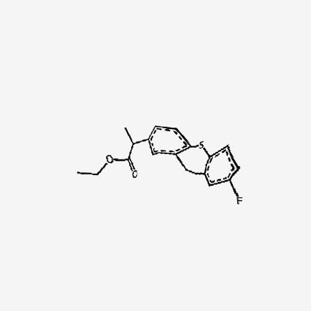 CCOC(=O)C(C)c1ccc2c(c1)Cc1cc(F)ccc1S2